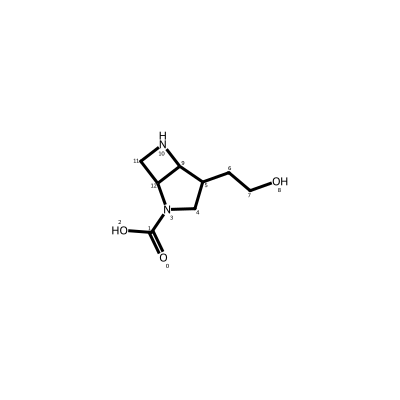 O=C(O)N1CC(CCO)C2NCC21